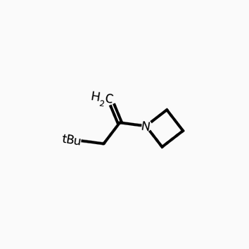 C=C(CC(C)(C)C)N1CCC1